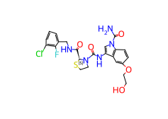 NC(=O)n1cc(NC(=O)N2CCS[C@H]2C(=O)NCc2cccc(Cl)c2F)c2cc(OCCO)ccc21